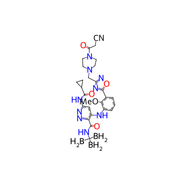 BC(B)(B)NC(=O)c1nnc(NC(=O)C2CC2)cc1Nc1cccc(-c2nc(CN3CCN(C(=O)CC#N)CC3)no2)c1OC